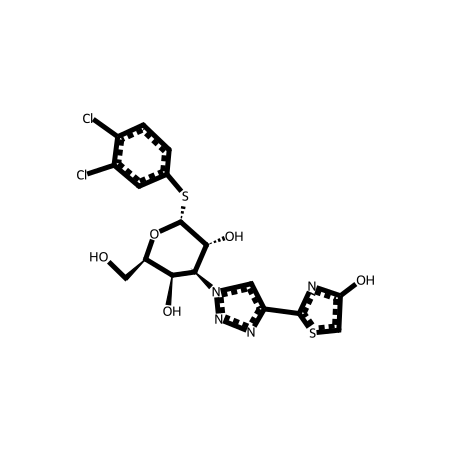 OC[C@H]1O[C@H](Sc2ccc(Cl)c(Cl)c2)[C@H](O)[C@@H](n2cc(-c3nc(O)cs3)nn2)[C@H]1O